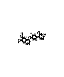 COc1cc2nccc(Oc3ccc(-c4cnc[nH]c4=O)cc3F)c2cc1OC